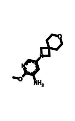 COc1ncc(N2CC3(CCOCC3)C2)cc1N